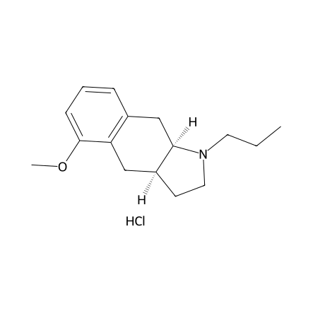 CCCN1CC[C@H]2Cc3c(cccc3OC)C[C@H]21.Cl